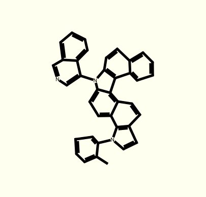 Cc1ccccc1-n1ccc2ccc3c(ccc4c3c3c5ccccc5ccc3n4-c3cncc4ccccc34)c21